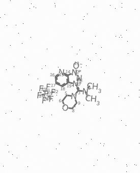 CN(C)C(N1CCOCC1)=[N+]1N=[N+]([O-])c2ncccc21.F[P-](F)(F)(F)(F)F